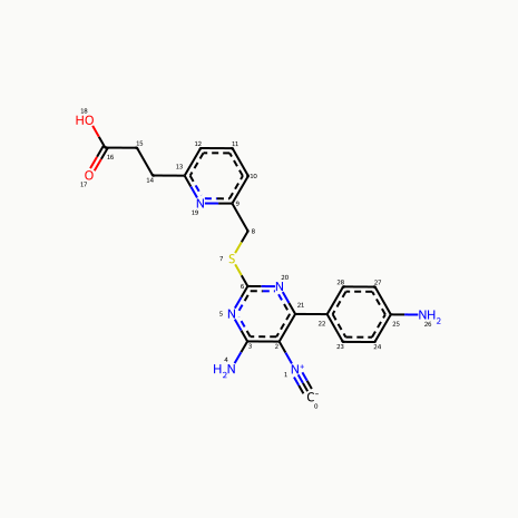 [C-]#[N+]c1c(N)nc(SCc2cccc(CCC(=O)O)n2)nc1-c1ccc(N)cc1